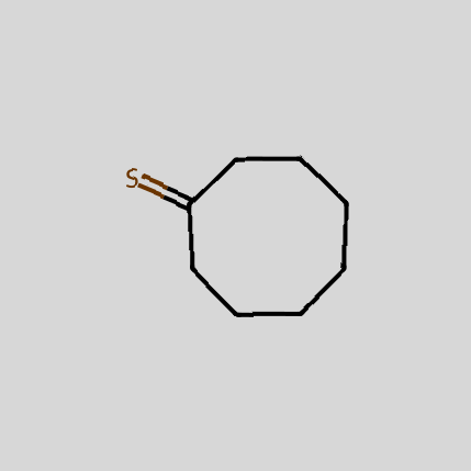 S=C1CCCCCCC1